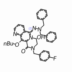 CCCCOc1c2n(/c(=N\N(Cc3ccccc3)Cc3ccccc3)c3cccnc13)C(O)CN(Cc1ccc(F)cc1)C2=O